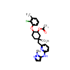 CC(C)(C)n1nccc1Nc1cccc(CC2(C(=O)O)CCC(Oc3cccc(C(F)(F)F)c3F)C(OC(=O)C(F)(F)F)C2)n1